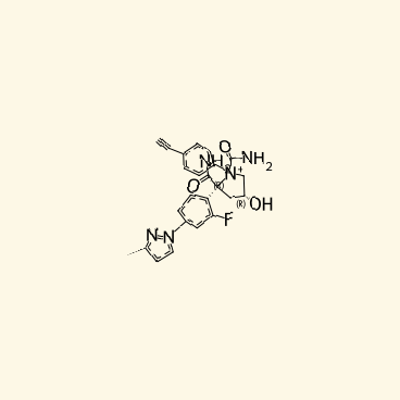 C#Cc1ccc([N+]2(C(N)=O)C[C@H](O)C[C@]2(C(N)=O)c2ccc(-n3ccc(C)n3)cc2F)cc1